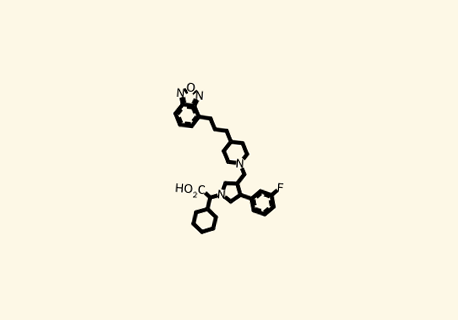 O=C(O)C(C1CCCCC1)N1CC(CN2CCC(CCCc3cccc4nonc34)CC2)C(c2cccc(F)c2)C1